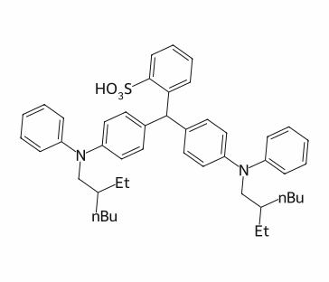 CCCCC(CC)CN(c1ccccc1)c1ccc(C(c2ccc(N(CC(CC)CCCC)c3ccccc3)cc2)c2ccccc2S(=O)(=O)O)cc1